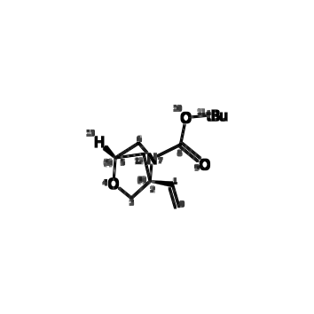 C=C[C@]12CO[C@H](CN1C(=O)OC(C)(C)C)C2